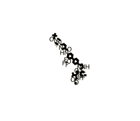 COC(=O)N[C@H](C(=O)N1C[Si](C)(C)C[C@H]1c1nc(-c2ccc(-c3ccc(NC(=O)c4ccc(N5CCN(C(=O)C(C)(C)C)C[C@H]5C)nc4)cc3OC(F)(F)F)cc2)c[nH]1)C(C)C